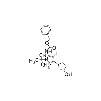 CC(C)(C)n1nc([C@H]2CC[C@@H](O)C2)c(I)c1NC(=O)OCc1ccccc1